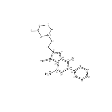 CC1CCCN(CCn2nc3c(Br)c(-c4ccccc4)nc(N)n3c2=O)C1